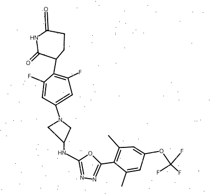 Cc1cc(OC(F)(F)F)cc(C)c1-c1nnc(NC2CN(c3cc(F)c(C4CCC(=O)NC4=O)c(F)c3)C2)o1